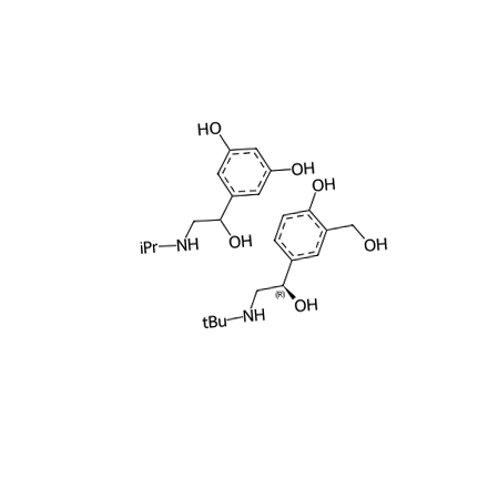 CC(C)(C)NC[C@H](O)c1ccc(O)c(CO)c1.CC(C)NCC(O)c1cc(O)cc(O)c1